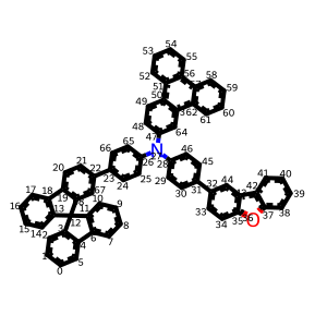 c1ccc2c(c1)-c1ccccc1C21c2ccccc2-c2ccc(-c3ccc(N(c4ccc(-c5ccc6oc7ccccc7c6c5)cc4)c4ccc5c6ccccc6c6ccccc6c5c4)cc3)cc21